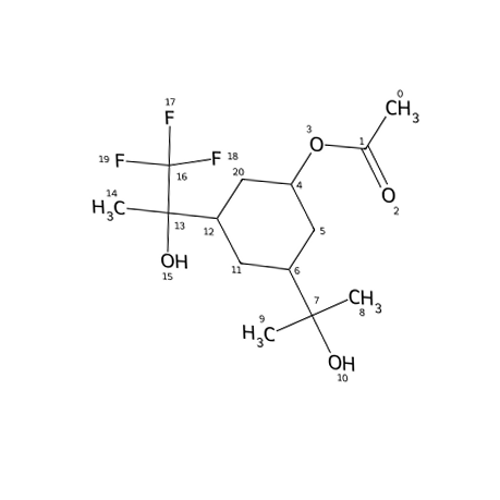 CC(=O)OC1CC(C(C)(C)O)CC(C(C)(O)C(F)(F)F)C1